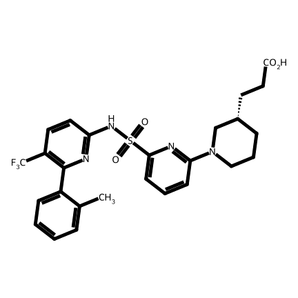 Cc1ccccc1-c1nc(NS(=O)(=O)c2cccc(N3CCC[C@@H](CCC(=O)O)C3)n2)ccc1C(F)(F)F